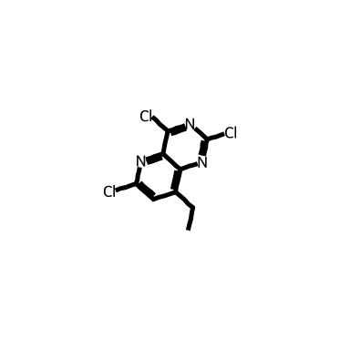 CCc1cc(Cl)nc2c(Cl)nc(Cl)nc12